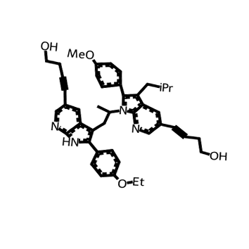 CCOc1ccc(-c2[nH]c3ncc(C#CCCO)cc3c2CC(C)n2c(-c3ccc(OC)cc3)c(CC(C)C)c3cc(C#CCCO)cnc32)cc1